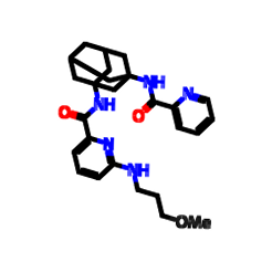 COCCCNc1cccc(C(=O)NC23CC4CC(CC(NC(=O)c5ccccn5)(C4)C2)C3)n1